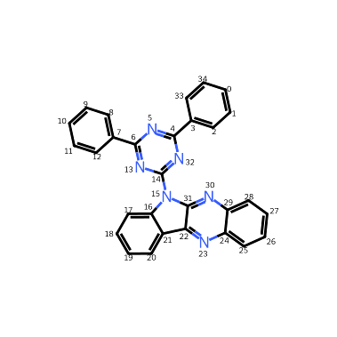 c1ccc(-c2nc(-c3ccccc3)nc(-n3c4ccccc4c4nc5ccccc5nc43)n2)cc1